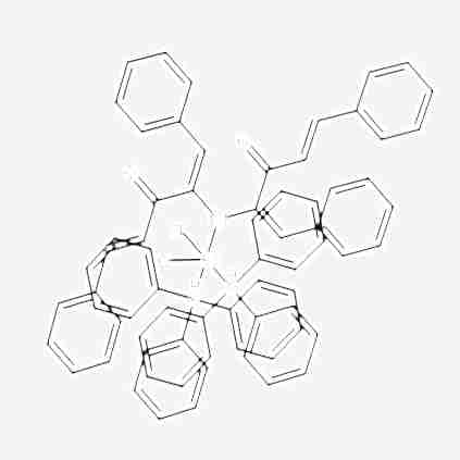 O=C(C=Cc1ccccc1)[C](=Cc1ccccc1)[Pd]([C](=Cc1ccccc1)C(=O)C=Cc1ccccc1)[Pd]([Cl])([Cl])([PH](c1ccccc1)(c1ccccc1)c1ccccc1)[PH](c1ccccc1)(c1ccccc1)c1ccccc1